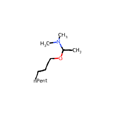 CCCCCCCCOC(C)N(C)C